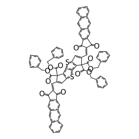 O=C1C(=CC2=Cc3sc4c5c(sc4c3C2(C(=O)OCc2ccccc2)C(=O)OCc2ccccc2)C=C(C=C2C(=O)c3cc4cc6ccccc6cc4cc3C2=O)C5(C(=O)OCc2ccccc2)C(=O)OCc2ccccc2)C(=O)c2cc3cc4ccccc4cc3cc21